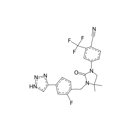 CC1(C)CN(c2ccc(C#N)c(C(F)(F)F)c2)C(=O)N1Cc1ccc(-c2c[nH]nn2)cc1F